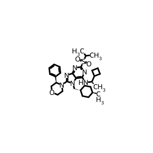 CC(C)S(=O)(=O)c1nc(N[C@H](C)C2CCC2)c2c(n1)nc(N1CCOC[C@H]1c1ccccc1)n2C[C@H]1CC[C@H](C)CC1